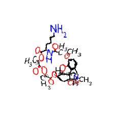 COc1ccc2c3c1O[C@H]1C(OC(=O)[C@H](C)OC(=O)[C@H](C)OC(=O)C(CCCCN)NC(C)=O)=CC[C@@]4(O)[C@@H](C2)N(C)CC[C@]314